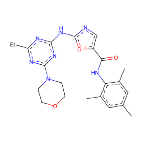 CCc1nc(Nc2ncc(C(=O)Nc3c(C)cc(C)cc3C)o2)nc(N2CCOCC2)n1